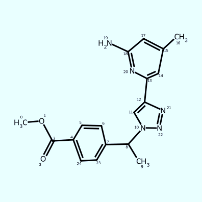 COC(=O)c1ccc(C(C)n2cc(-c3cc(C)cc(N)n3)nn2)cc1